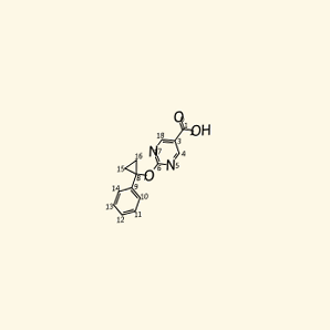 O=C(O)c1cnc(OC2(c3ccccc3)CC2)nc1